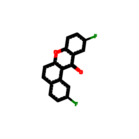 O=c1c2cc(F)ccc2oc2ccc3ccc(F)cc3c12